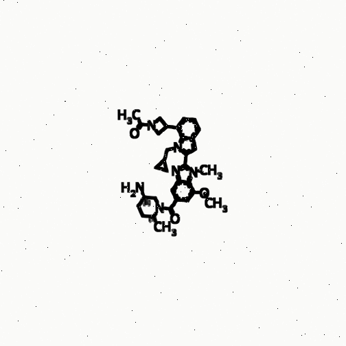 COc1cc(C(=O)N2C[C@H](N)CC[C@@H]2C)cc2nc(-c3cc4cccc(C5CN(C(C)=O)C5)c4n3CC3CC3)n(C)c12